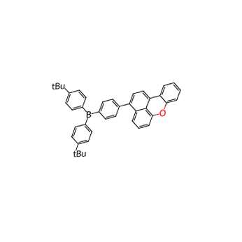 CC(C)(C)c1ccc(B(c2ccc(-c3ccc4c5c(cccc35)Oc3ccccc3-4)cc2)c2ccc(C(C)(C)C)cc2)cc1